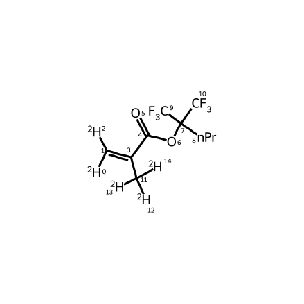 [2H]C([2H])=C(C(=O)OC(CCC)(C(F)(F)F)C(F)(F)F)C([2H])([2H])[2H]